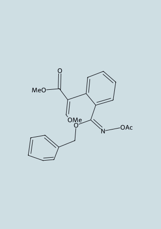 CO/C=C(/C(=O)OC)c1ccccc1/C(=N\OC(C)=O)OCc1ccccc1